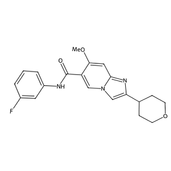 COc1cc2nc(C3CCOCC3)cn2cc1C(=O)Nc1cccc(F)c1